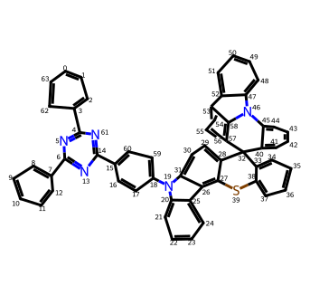 c1ccc(-c2nc(-c3ccccc3)nc(-c3ccc(-n4c5ccccc5c5c6c(ccc54)C4(c5ccccc5S6)c5ccccc5-n5c6ccccc6c6cccc4c65)cc3)n2)cc1